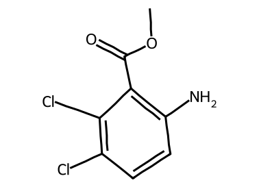 COC(=O)c1c(N)ccc(Cl)c1Cl